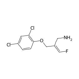 NC/C(=C\F)COc1ccc(Cl)cc1Cl